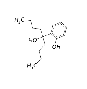 CCCCC(O)(CCCC)c1ccccc1O